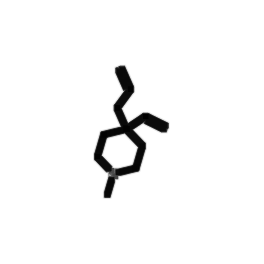 C=CCC1(C=C)CCN(C)CC1